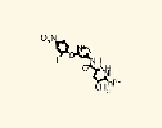 CCCC(=N)[C@@H](C)CC(=N)C(=O)Nc1cc(Oc2ccc([N+](=O)[O-])cc2F)ncn1